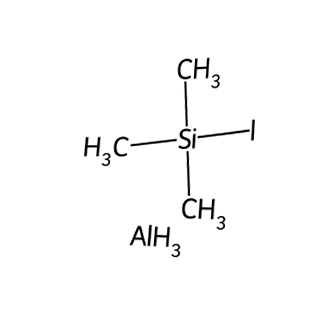 C[Si](C)(C)I.[AlH3]